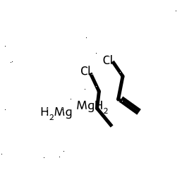 C=CCCl.CCCCl.[MgH2].[MgH2]